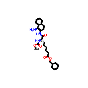 CC(C)(C)OC(=O)N[C@@H](CCCCCC(=O)OCc1ccccc1)C(=O)Nc1ccc2ccccc2c1N